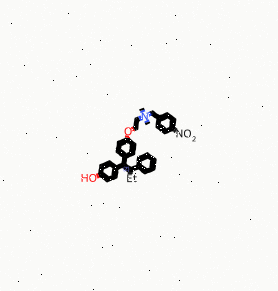 CC/C(=C(\c1ccc(O)cc1)c1ccc(OCC[N+](C)(C)Cc2ccc([N+](=O)[O-])cc2)cc1)c1ccccc1